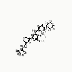 Cc1nc(-c2cccc(OCC(=O)NC(C)(C)C)c2)nc(Nc2ccc(N3CCOCC3)nc2)c1C